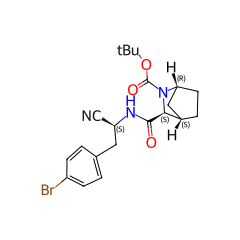 CC(C)(C)OC(=O)N1[C@@H]2CC[C@@H](C2)[C@H]1C(=O)N[C@H](C#N)Cc1ccc(Br)cc1